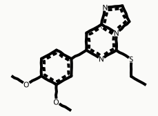 CCSc1nc(-c2ccc(OC)c(OC)c2)cc2nccn12